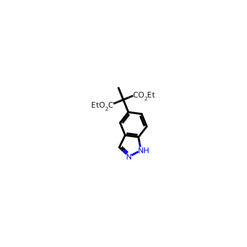 CCOC(=O)C(C)(C(=O)OCC)c1ccc2[nH]ncc2c1